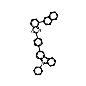 c1ccc(-n2c3ccccc3c3cc(-c4ccc(-c5nc6c(-c7ccc8ccccc8c7)cccc6o5)cc4)ccc32)cc1